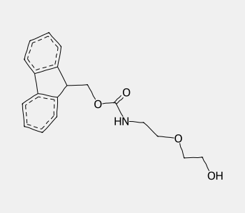 O=C(NCCOCCO)OCC1c2ccccc2-c2ccccc21